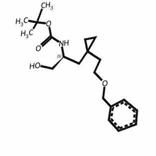 CC(C)(C)OC(=O)N[C@H](CO)CC1(CCOCc2ccccc2)CC1